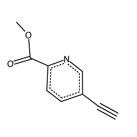 C#Cc1ccc(C(=O)OC)nc1